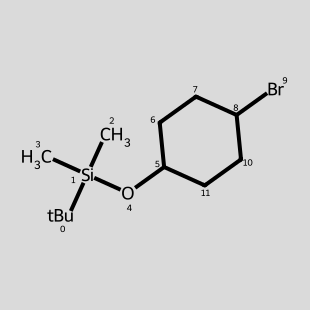 CC(C)(C)[Si](C)(C)OC1CCC(Br)CC1